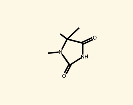 CN1C(=O)NC(=O)C1(C)C